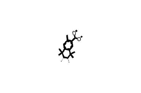 COC(OC)c1cc2c(cc1C)C(C)(C)[C@@H](C)[C@@H](C)C2(C)C